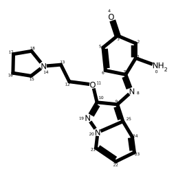 NC1=CC(=O)C=C/C1=N\c1c(OCCN2CCCC2)nn2ccccc12